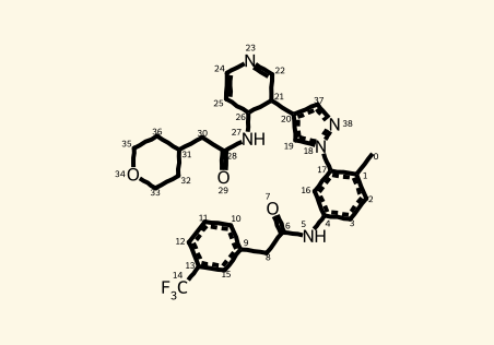 Cc1ccc(NC(=O)Cc2cccc(C(F)(F)F)c2)cc1-n1cc(C2C=NC=CC2NC(=O)CC2CCOCC2)cn1